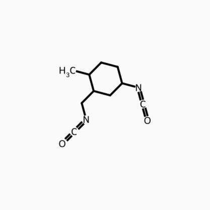 CC1CCC(N=C=O)CC1CN=C=O